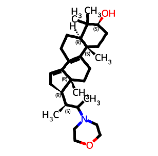 CC([C@@H](C)[C@H]1CC=C2C3=C(CC[C@@]21C)[C@@]1(C)CC[C@H](O)C(C)(C)[C@@H]1CC3)N1CCOCC1